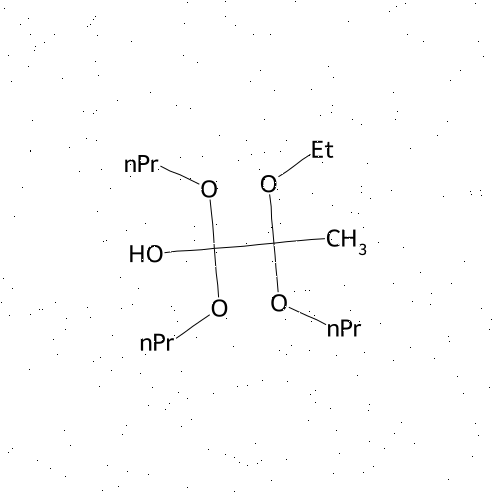 CCCOC(C)(OCC)C(O)(OCCC)OCCC